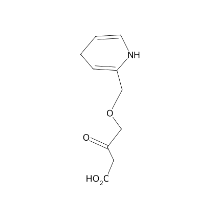 O=C(O)CC(=O)COCC1=CCC=CN1